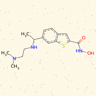 CC(NCCN(C)C)c1ccc2cc(C(=O)NO)sc2c1